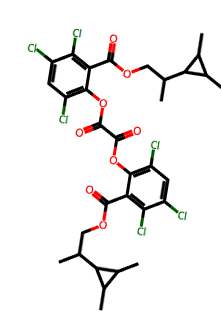 CC(COC(=O)c1c(Cl)c(Cl)cc(Cl)c1OC(=O)C(=O)Oc1c(Cl)cc(Cl)c(Cl)c1C(=O)OCC(C)C1C(C)C1C)C1C(C)C1C